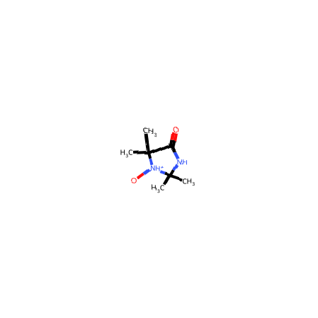 CC1(C)NC(=O)C(C)(C)[NH+]1[O-]